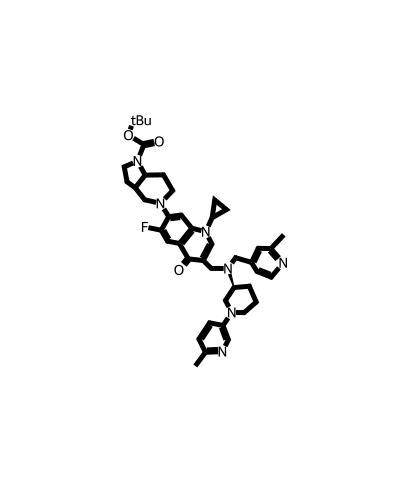 Cc1ccc(N2CCC[C@H](N(Cc3ccnc(C)c3)Cc3cn(C4CC4)c4cc(N5CCC6C(CCN6C(=O)OC(C)(C)C)C5)c(F)cc4c3=O)C2)cn1